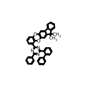 CC1(C)c2ccccc2-c2cc3c(cc21)Oc1c(cccc1-c1nc(-c2ccccc2)nc(-c2ccccc2-c2ccccc2)n1)O3